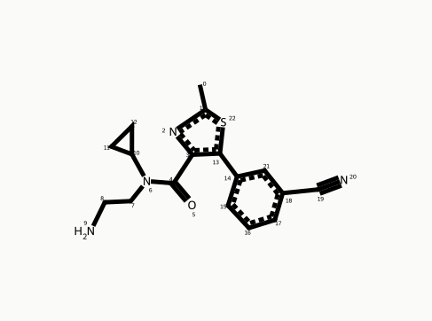 Cc1nc(C(=O)N(CCN)C2CC2)c(-c2cccc(C#N)c2)s1